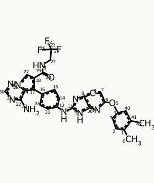 Cc1ccc(Oc2ccc3nc(Nc4ccc(-c5c(C(=O)NCC(F)(F)F)cn6ncnc(N)c56)cc4)[nH]c3n2)cc1C